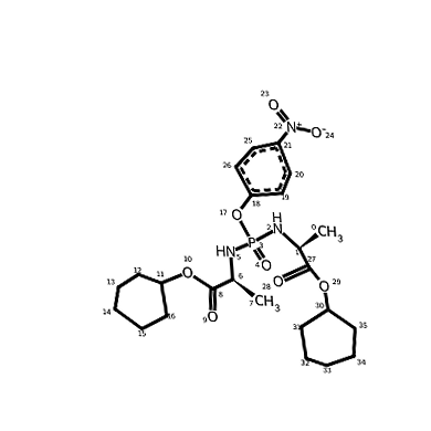 C[C@H](NP(=O)(N[C@@H](C)C(=O)OC1CCCCC1)Oc1ccc([N+](=O)[O-])cc1)C(=O)OC1CCCCC1